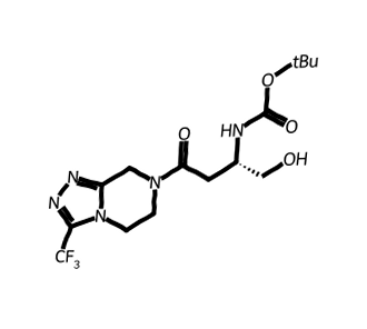 CC(C)(C)OC(=O)N[C@H](CO)CC(=O)N1CCn2c(nnc2C(F)(F)F)C1